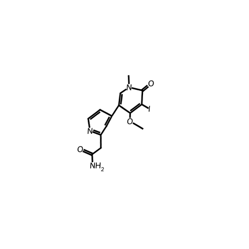 COc1c(-c2ccnc(CC(N)=O)c2)cn(C)c(=O)c1I